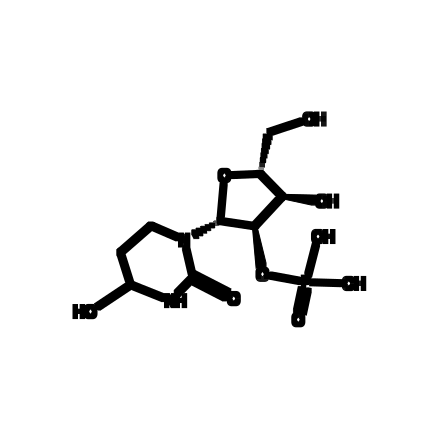 O=C1NC(O)CCN1[C@@H]1O[C@H](CO)[C@@H](O)[C@H]1OP(=O)(O)O